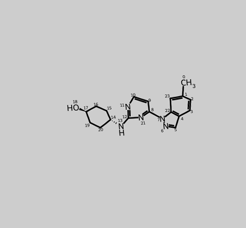 Cc1ccc2cnn(-c3ccnc(N[C@H]4CC[C@H](O)CC4)n3)c2c1